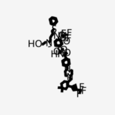 CN(CCO)CCC(CSc1ccccc1)Nc1ccc(S(=O)(=O)NC(=O)c2ccc(N3CCN(CC4=C(C56CC(C(F)(F)F)(C5)C6)CC(C)(C)CC4)CC3)cc2)cc1S(=O)(=O)C(F)(F)F